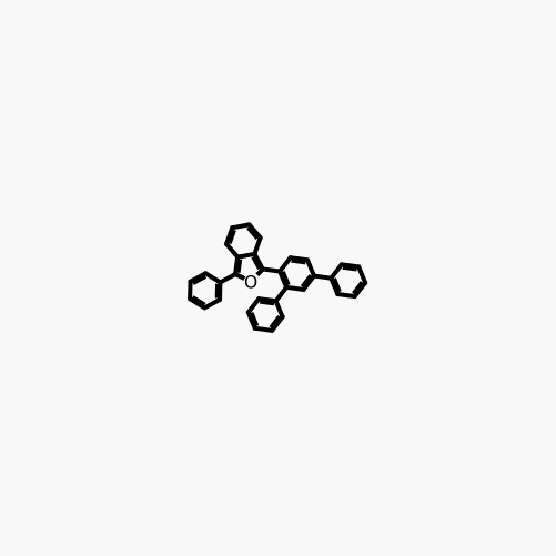 c1ccc(-c2ccc(-c3oc(-c4ccccc4)c4ccccc34)c(-c3ccccc3)c2)cc1